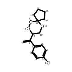 C=C(c1ccc(Cl)cc1)C1COC2(CCCC2)OO1